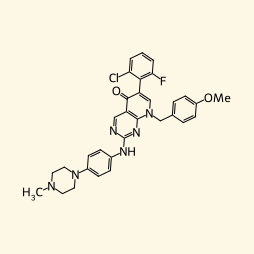 COc1ccc(Cn2cc(-c3c(F)cccc3Cl)c(=O)c3cnc(Nc4ccc(N5CCN(C)CC5)cc4)nc32)cc1